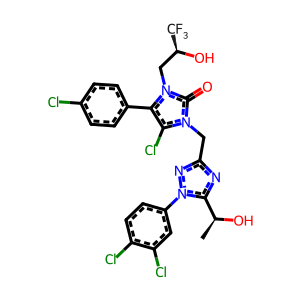 C[C@H](O)c1nc(Cn2c(Cl)c(-c3ccc(Cl)cc3)n(C[C@H](O)C(F)(F)F)c2=O)nn1-c1ccc(Cl)c(Cl)c1